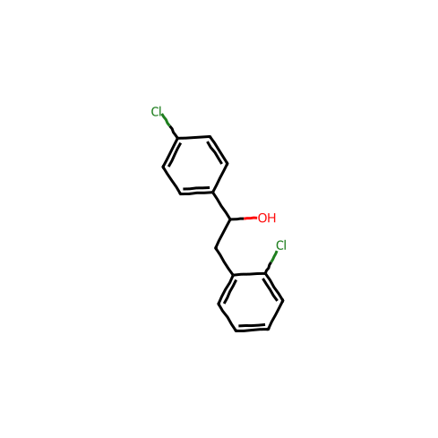 OC(Cc1ccccc1Cl)c1ccc(Cl)cc1